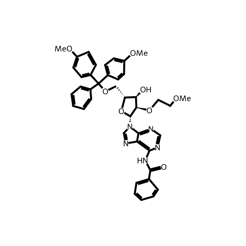 COCCO[C@@H]1[C@H](O)[C@@H](COC(c2ccccc2)(c2ccc(OC)cc2)c2ccc(OC)cc2)O[C@H]1n1cnc2c(NC(=O)c3ccccc3)ncnc21